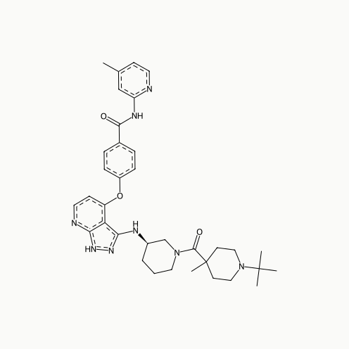 Cc1ccnc(NC(=O)c2ccc(Oc3ccnc4[nH]nc(N[C@@H]5CCCN(C(=O)C6(C)CCN(C(C)(C)C)CC6)C5)c34)cc2)c1